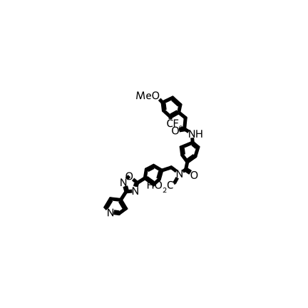 COc1ccc(CC(=O)Nc2ccc(C(=O)N(CC(=O)O)Cc3ccc(-c4nc(-c5ccncc5)no4)cc3)cc2)c(C(F)(F)F)c1